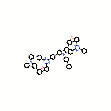 c1ccc(-c2ccc(-n3c4ccc(-c5ccc6oc7cccc(-c8nc(-c9ccccc9)nc(-c9ccccc9)n8)c7c6c5)cc4c4ccc(-c5ccc(-c6nc(-c7ccccc7)nc(-c7cccc8c7oc7c(-c9ccc%10c(c9)c9ccccc9n%10-c9ccccc9)cccc78)n6)cc5)cc43)cc2)cc1